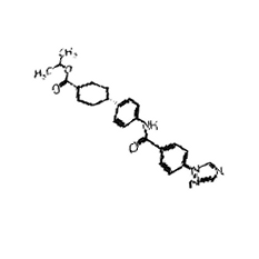 CC(C)OC(=O)[C@H]1CC[C@H](c2ccc(NC(=O)c3ccc(-n4cncn4)cc3)cc2)CC1